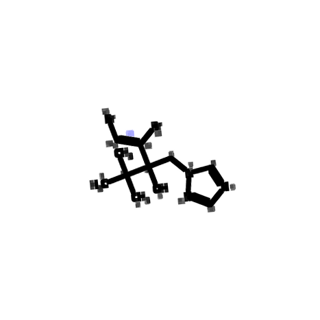 CC(C)(C)C(O)(Cn1cncn1)/C(Br)=C/Br